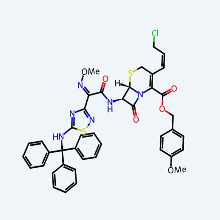 CO/N=C(\C(=O)N[C@@H]1C(=O)N2C(C(=O)OCc3ccc(OC)cc3)=C(/C=C\CCl)CS[C@@H]12)c1nsc(NC(c2ccccc2)(c2ccccc2)c2ccccc2)n1